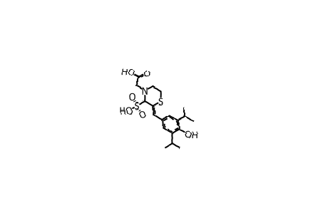 CC(C)c1cc(C=C2SCCN(CC(=O)O)C2S(=O)(=O)O)cc(C(C)C)c1O